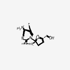 CCCCC[C@]1(n2cc(F)c(N)nc2=O)CC[C@@H](CO)O1